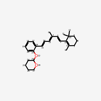 CC(C=CC1=C(C)CCCC1(C)C)=CC=Cc1ccccc1OC1CCCCO1